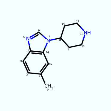 Cc1ccc2ncn(C3CCNCC3)c2c1